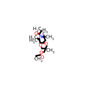 C=CC(=O)OCC1(C)COC2(CC(C)(C)N(C(=O)C=C)C(C)(C)C2)OC1